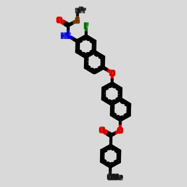 CCCSC(=O)Nc1cc2ccc(Oc3ccc4cc(OC(=O)c5ccc(OC)cc5)ccc4c3)cc2cc1F